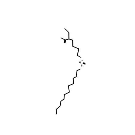 CCCCCCCCCCCCOS(=O)(=O)OCCCCC(CC)C(=O)O